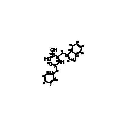 O=C(Cc1ncccn1)NC(Cc1coc2ccccc12)B(O)O